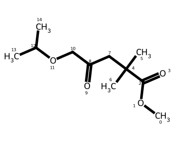 COC(=O)C(C)(C)CC(=O)COC(C)C